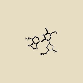 Cc1cn([C@H]2C[C@H](O)[C@@H](CO)O2)c(=O)[nH]c1=O.Nc1ncnc2nc[nH]c12